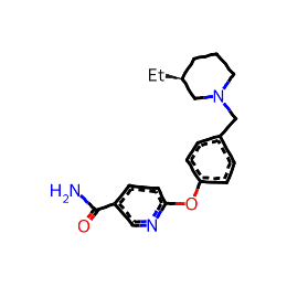 CC[C@H]1CCCN(Cc2ccc(Oc3ccc(C(N)=O)cn3)cc2)C1